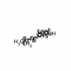 C=C(C)C(=O)OCCOC(=O)CCc1cc(I)c(Oc2cc(I)c(O)c(I)c2)c(I)c1